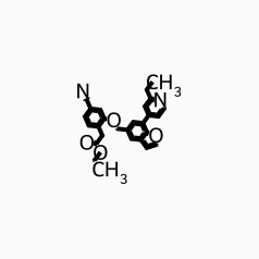 CCOC(=O)Cc1ccc(C#N)cc1OCc1cc(-c2ccnc(CC)c2)c2occc2c1